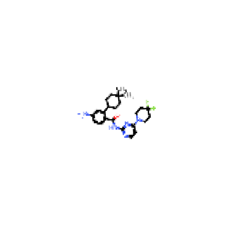 CC1(C)CCC(c2cc(N)ccc2C(=O)Nc2nccc(N3CCC(F)(F)CC3)n2)CC1